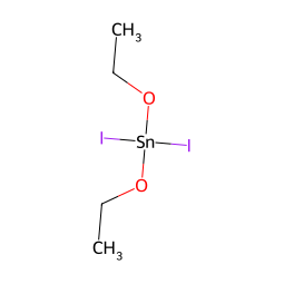 CC[O][Sn]([I])([I])[O]CC